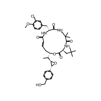 COc1ccc(C[C@H]2NC(=O)/C=C/C[C@@H](C(C)[C@H]3O[C@@H]3c3ccc(CO)cc3)OC(=O)[C@H](CC(C)(C)C)NC(=O)C(C)(C)CNC2=O)cc1Cl